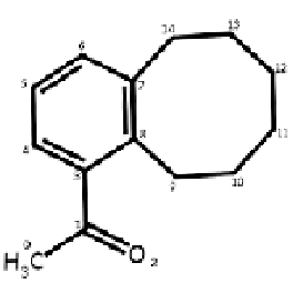 CC(=O)c1cccc2c1CCCCCC2